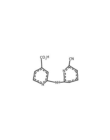 N#Cc1cccc(Nc2cc(C(=O)O)ccn2)n1